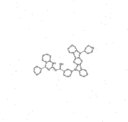 N=C(/N=c1/nc(-c2ccccc2)c2ccccc2[nH]1)c1cccc(-n2c3ccccc3c3cc4c(cc32)c2ccccc2n4-c2ccncc2)c1